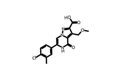 COCc1c(C(=O)O)nn2cc(-c3ccc(Cl)c(C)c3)[nH]c(=O)c12